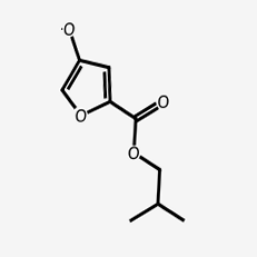 CC(C)COC(=O)c1cc([O])co1